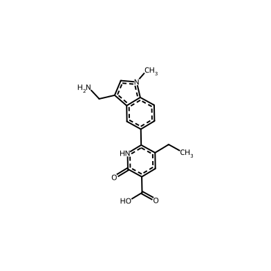 CCc1cc(C(=O)O)c(=O)[nH]c1-c1ccc2c(c1)c(CN)cn2C